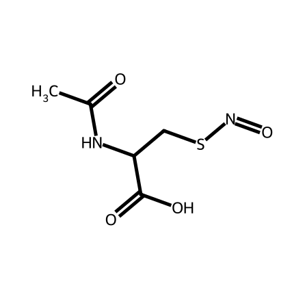 CC(=O)NC(CSN=O)C(=O)O